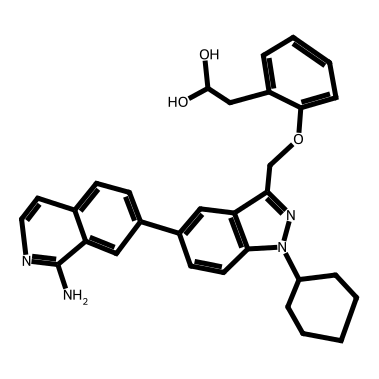 Nc1nccc2ccc(-c3ccc4c(c3)c(COc3ccccc3CC(O)O)nn4C3CCCCC3)cc12